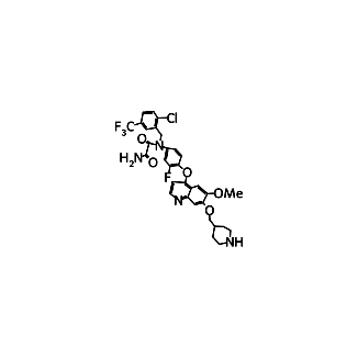 COc1cc2c(Oc3ccc(N(Cc4cc(C(F)(F)F)ccc4Cl)C(=O)C(N)=O)cc3F)ccnc2cc1OCC1CCNCC1